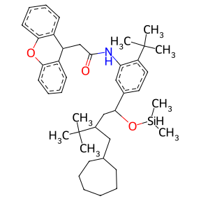 C[SiH](C)OC(CC(CC1CCCCCC1)C(C)(C)C)c1ccc(C(C)(C)C)c(NC(=O)CC2c3ccccc3Oc3ccccc32)c1